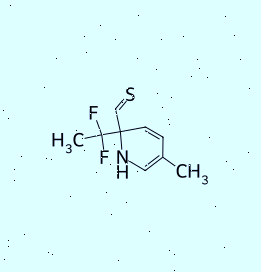 CC1=CNC(C=S)(C(C)(F)F)C=C1